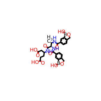 C[C@H](NC(=O)c1ccc2c(c1)B(O)OC2)[C@H](NC(=O)c1ccc2c(c1)B(O)OC2)C(=O)NC(CCC(=O)O)CC(=O)O